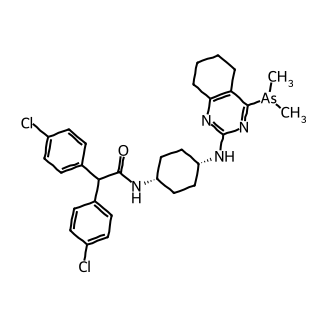 C[As](C)c1nc(N[C@H]2CC[C@@H](NC(=O)C(c3ccc(Cl)cc3)c3ccc(Cl)cc3)CC2)nc2c1CCCC2